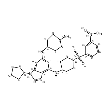 NC1CCC(Nc2nc(NC3CCN(S(=O)(=O)c4cccc([N+](=O)[O-])c4)CC3)c3ncn(C4CCCC4)c3n2)CC1